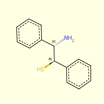 N[C@@H](c1ccccc1)[C@H](S)c1ccccc1